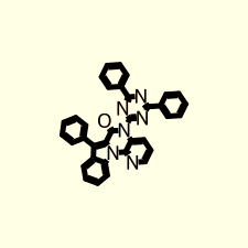 O=c1c2c(-c3ccccc3)c3ccccc3n2c2ncccc2n1-c1nc(-c2ccccc2)nc(-c2ccccc2)n1